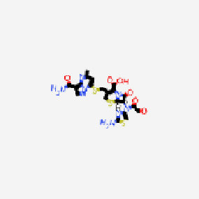 Cc1cc(SCC2=C(C(=O)O)N3C(=O)[C@@H](N(C(=O)C=O)c4csc(N)n4)[C@H]3SC2)n2ncc(C(N)=O)c2n1